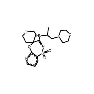 CC(CN1CCOCC1)NC1=NS(=O)(=O)c2cccnc2OC12CCOCC2